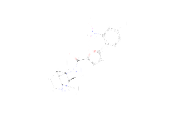 Cc1ccc(-c2ccc(C(=O)N[C@@H]3C4CCN(CC4)[C@H]3C)o2)c([N+](=O)[O-])c1